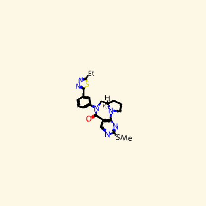 CCc1nnc(-c2cccc(N3C[C@@H]4CCCN4c4nc(SC)ncc4C3=O)c2)s1